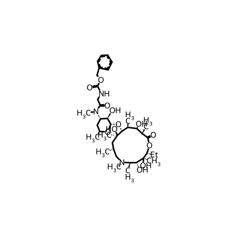 CC[C@H]1OC(=O)[C@H](C)[C@@H](O)[C@H](C)[C@@H](O[C@@H]2O[C@H](C)C[C@H](N(C)C(=O)CNC(=O)OCc3ccccc3)[C@H]2O)[C@](C)(O)C[C@@H](C)CN(C)[C@H](C)[C@@H](O)[C@]1(C)O